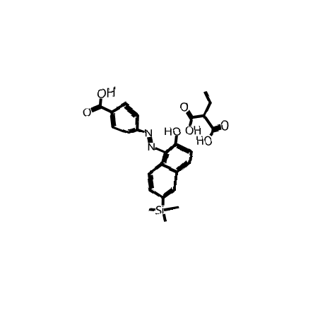 CCC(C(=O)O)C(=O)O.C[Si](C)(C)c1ccc2c(N=Nc3ccc(C(=O)O)cc3)c(O)ccc2c1